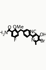 COc1c(Cc2ccc(-c3nc(C)c(Br)c(O)c3C#N)cc2)cc(F)cc1C(N)=O